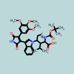 CCC(C(C(C)C)C(NC(=O)OC(C)(C)C)C(=O)O)n1cc(C2=C(c3cc(OC)c(OC)c(OC)c3)C(=O)NC2=O)c2ccccc21